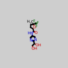 CC1(C(F)(F)F)CCC(C(=O)Nc2cnc([C@@H](O)CO)nc2)O1